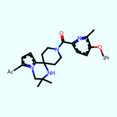 CC(=O)c1ccc2n1CC(C)(C)NC21CCN(C(=O)c2ccc(OC(C)C)c(C)n2)CC1